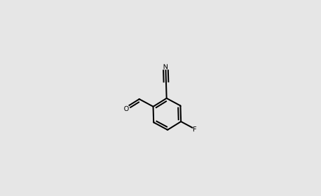 N#Cc1cc(F)ccc1C=O